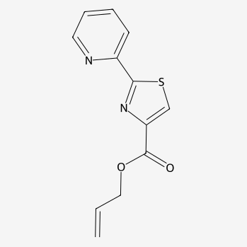 C=CCOC(=O)c1csc(-c2ccccn2)n1